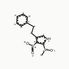 C[S+]([O-])c1[nH]cc(CCc2ccccc2)c1[N+](=O)[O-]